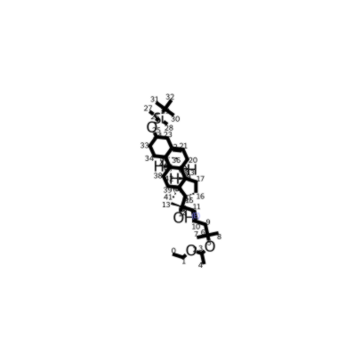 CCOC(C)OC(C)(C)C/C=C/[C@](C)(O)[C@H]1CC[C@H]2[C@@H]3CC=C4CC(O[Si](C)(C)C(C)(C)C)CC[C@]4(C)[C@H]3CC[C@@]21C